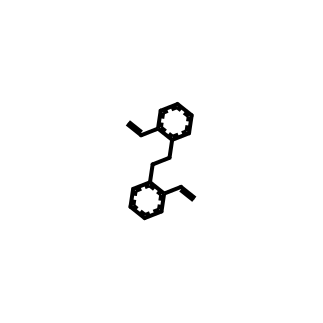 C=Cc1ccccc1CCc1ccccc1C=C